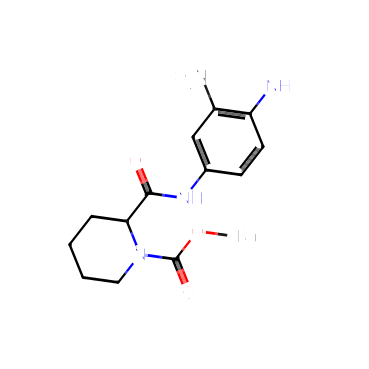 CC(C)(C)OC(=O)N1CCCCC1C(=O)Nc1ccc(N)c([N+](=O)[O-])c1